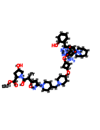 CC(C)C(C(=O)N1C[C@H](O)CC1C(=O)OC(C)(C)C)c1cc(N2CCC(CN3CCC(OC4CC(Oc5cc(N6C7CCC6CN(c6cc(-c8ccccc8O)nnc6N)C7)ccn5)C4)CC3)CC2)no1